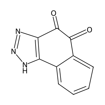 O=C1C(=O)c2nn[nH]c2-c2ccccc21